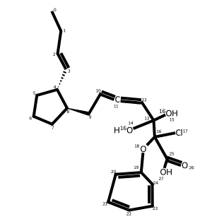 CC/C=C/[C@H]1CCC[C@@H]1CC=C=CC([16OH])([16OH])C(Cl)(Oc1ccccc1)C(=O)O